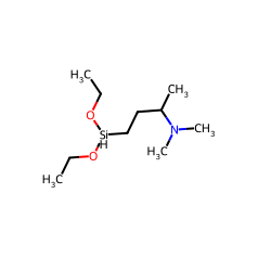 CCO[SiH](CCC(C)N(C)C)OCC